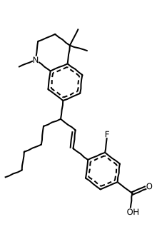 CCCCCC(C=Cc1ccc(C(=O)O)cc1F)c1ccc2c(c1)N(C)CCC2(C)C